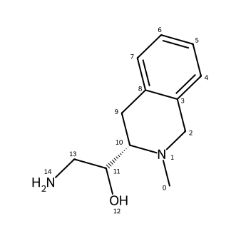 CN1Cc2ccccc2C[C@H]1C(O)CN